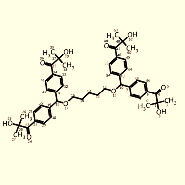 CC(C)(O)C(=O)c1ccc(C(OCCCCCOC(c2ccc(C(=O)C(C)(C)O)cc2)c2ccc(C(=O)C(C)(C)O)cc2)c2ccc(C(=O)C(C)(C)O)cc2)cc1